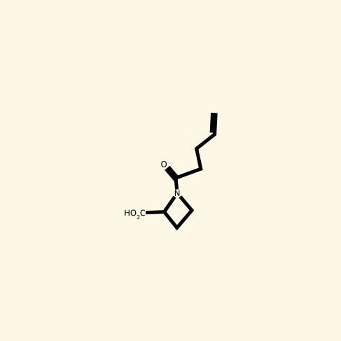 C=CCCC(=O)N1CCC1C(=O)O